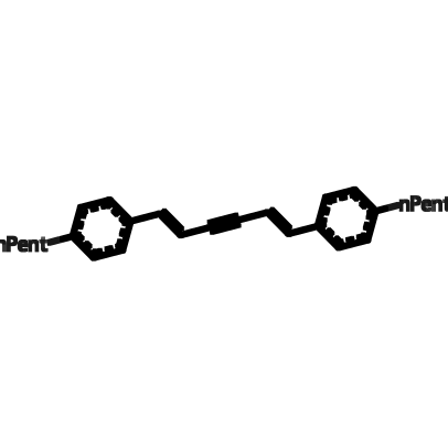 CCCCCc1ccc(/C=C/C#C/C=C/c2ccc(CCCCC)cc2)cc1